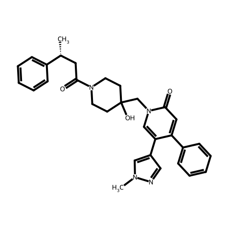 C[C@H](CC(=O)N1CCC(O)(Cn2cc(-c3cnn(C)c3)c(-c3ccccc3)cc2=O)CC1)c1ccccc1